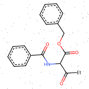 CCC(=O)C(NC(=O)c1ccccc1)C(=O)OCc1ccccc1